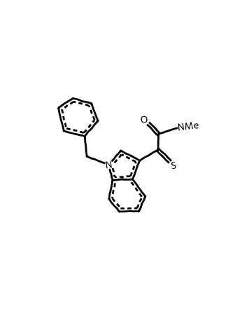 CNC(=O)C(=S)c1cn(Cc2ccccc2)c2ccccc12